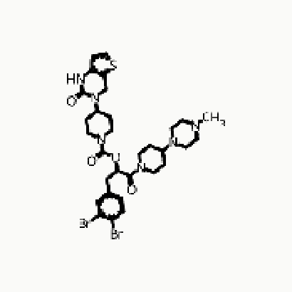 CN1CCN(C2CCN(C(=O)C(Cc3ccc(Br)c(Br)c3)OC(=O)N3CCC(N4Cc5sccc5NC4=O)CC3)CC2)CC1